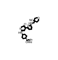 CON(C(C)C)C1CCC(Nc2cc(-c3cccc(NCC4(C#N)CCOCC4)n3)c(Cl)cn2)CC1